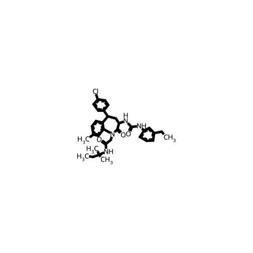 CCc1cccc(NC(=O)NC2CC(c3ccc(Cl)cc3)c3ccc(C)cc3N(CC(=O)NC(C)(C)CC)C2=O)c1